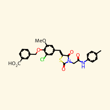 COc1cc(/C=C2\SC(=O)N(CC(=O)Nc3ccc(C)cc3)C2=O)cc(Cl)c1OCc1cccc(C(=O)O)c1